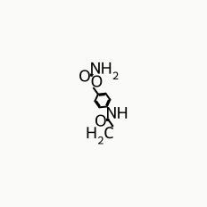 C=CC(=O)Nc1ccc(COC(N)=O)cc1